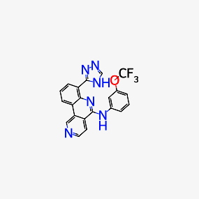 FC(F)(F)Oc1cccc(Nc2nc3c(-c4nnc[nH]4)cccc3c3cnccc23)c1